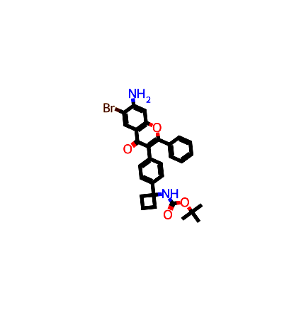 CC(C)(C)OC(=O)NC1(c2ccc(-c3c(-c4ccccc4)oc4cc(N)c(Br)cc4c3=O)cc2)CCC1